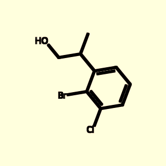 C[C](CO)c1cccc(Cl)c1Br